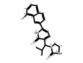 CC(C)C(c1ccc(-c2ccc3cccc(F)c3c2)[nH]c1=O)N1CCNC1=O